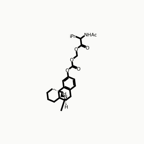 CC(=O)NC(C(=O)OCOC(=O)Oc1ccc2c(c1)[C@]13CCCC[C@@H]1[C@H](C2)N(C)CC3)C(C)C